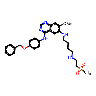 COc1cc2ncnc(Nc3ccc(OCc4ccccc4)cc3)c2cc1NCCCCNCCS(C)(=O)=O